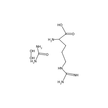 N=C(N)NCCCC(N)C(=O)O.NC(N)=O.OO